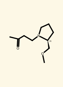 COC[C@@H]1CCCN1CCC(C)=O